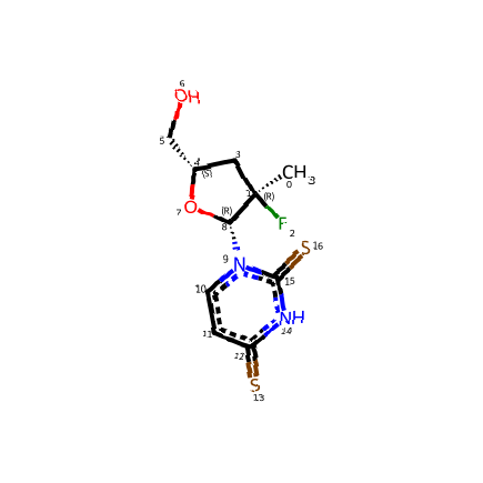 C[C@@]1(F)C[C@@H](CO)O[C@H]1n1ccc(=S)[nH]c1=S